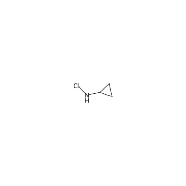 ClNC1CC1